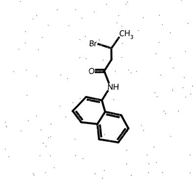 CC(Br)CC(=O)Nc1cccc2ccccc12